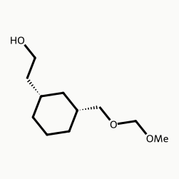 COCOC[C@@H]1CCC[C@H](CCO)C1